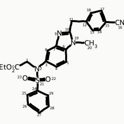 CCOC(=O)CN(c1ccc2c(c1)nc(Cc1ccc(C#N)cc1)n2C)S(=O)(=O)c1ccccc1